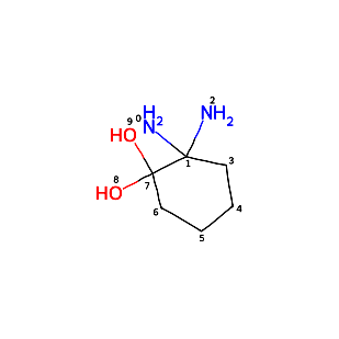 NC1(N)CCCCC1(O)O